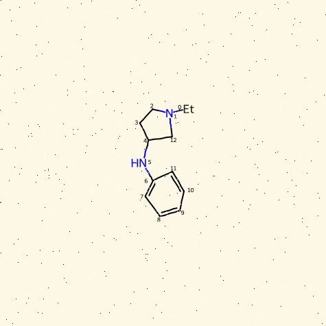 CCN1CCC(Nc2ccccc2)C1